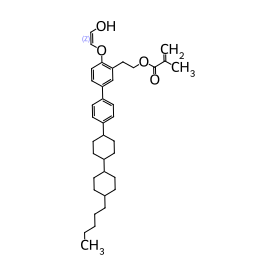 C=C(C)C(=O)OCCc1cc(-c2ccc(C3CCC(C4CCC(CCCCC)CC4)CC3)cc2)ccc1O/C=C\O